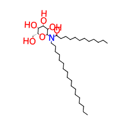 CCCCCCCCCCCCCCCCCCN(C(=O)CCCCCCCCCCC)C1O[C@H](CO)[C@H](O)[C@H](O)[C@H]1O